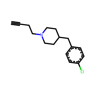 C#CCCN1CCC(Cc2ccc(Cl)cc2)CC1